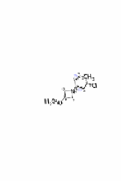 C/C=C\C(=C/CCl)N1CC(OC)C1